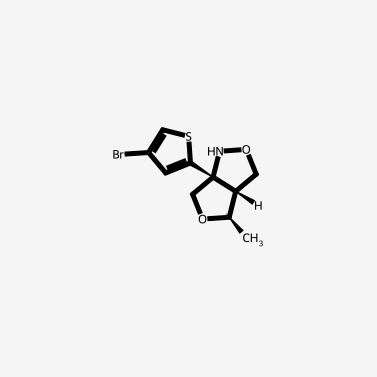 C[C@H]1OC[C@]2(c3cc(Br)cs3)NOC[C@H]12